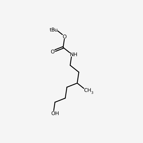 CC(CCCO)CCNC(=O)OC(C)(C)C